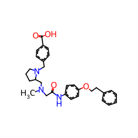 CN(CC(=O)Nc1ccc(OCCc2ccccc2)cc1)CC1CCCN1Cc1ccc(C(=O)O)cc1